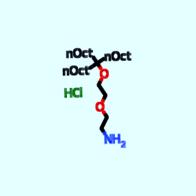 CCCCCCCCC(CCCCCCCC)(CCCCCCCC)OCCOCCN.Cl